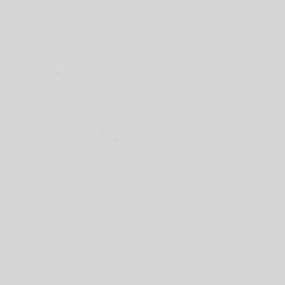 CCOC(=O)C(C)(C)Oc1ccc(OCc2nnc(-c3ccc(C(F)(F)F)cc3)o2)cc1C